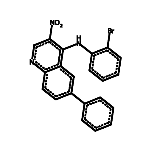 O=[N+]([O-])c1cnc2ccc(-c3ccccc3)cc2c1Nc1ccccc1Br